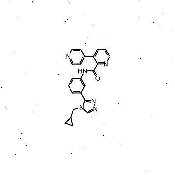 O=C(Nc1cccc(-c2nncn2CC2CC2)c1)c1ncccc1-c1ccncc1